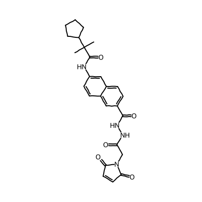 CC(C)(C(=O)Nc1ccc2cc(C(=O)NNC(=O)CN3C(=O)C=CC3=O)ccc2c1)C1CCCC1